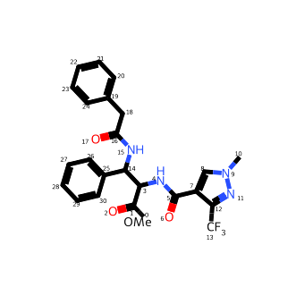 COC(=O)C(NC(=O)c1cn(C)nc1C(F)(F)F)C(NC(=O)Cc1ccccc1)c1ccccc1